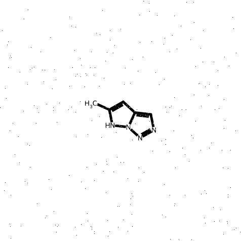 Cc1cc2cnnn2[nH]1